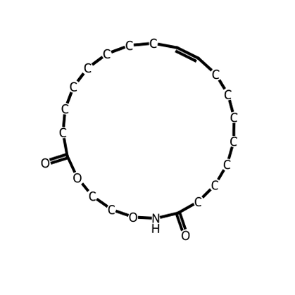 O=C1CCCCCCC/C=C\CCCCCCCC(=O)OCCON1